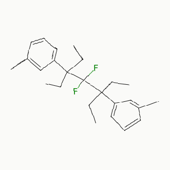 CCC(CC)(c1cccc(C)c1)C(F)(F)C(CC)(CC)c1cccc(C)c1